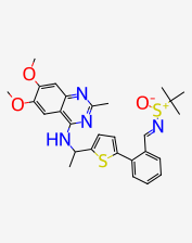 COc1cc2nc(C)nc(NC(C)c3ccc(-c4ccccc4C=N[S+]([O-])C(C)(C)C)s3)c2cc1OC